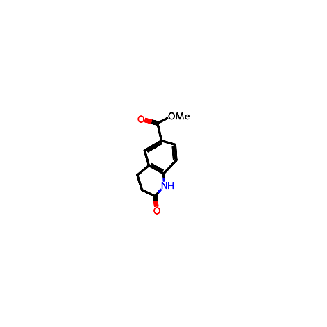 COC(=O)c1ccc2c(c1)CCC(=O)N2